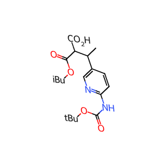 CCC(C)OC(=O)C(C(=O)O)C(C)c1ccc(NC(=O)OC(C)(C)C)nc1